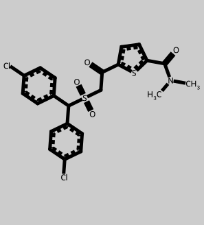 CN(C)C(=O)c1ccc(C(=O)CS(=O)(=O)C(c2ccc(Cl)cc2)c2ccc(Cl)cc2)s1